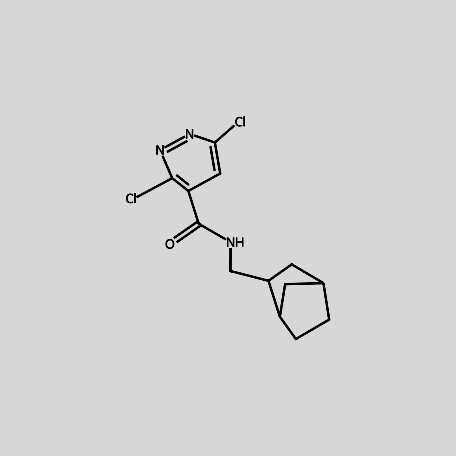 O=C(NCC1CC2CCC1C2)c1cc(Cl)nnc1Cl